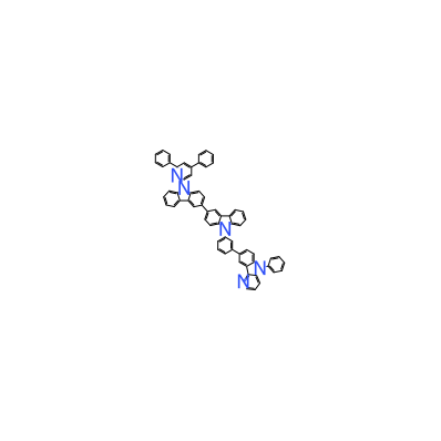 c1ccc(-c2cc(-c3ccccc3)nc(-n3c4ccccc4c4cc(-c5ccc6c(c5)c5ccccc5n6-c5cccc(-c6ccc7c(c6)c6ncccc6n7-c6ccccc6)c5)ccc43)c2)cc1